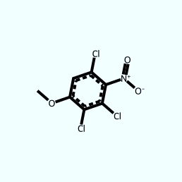 COc1cc(Cl)c([N+](=O)[O-])c(Cl)c1Cl